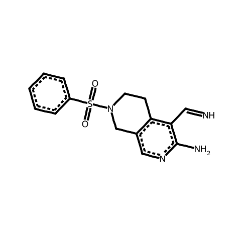 N=Cc1c(N)ncc2c1CCN(S(=O)(=O)c1ccccc1)C2